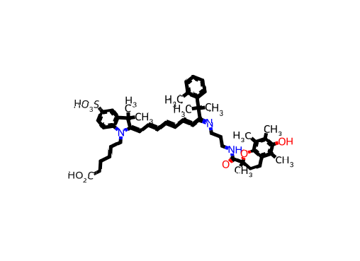 Cc1ccccc1C(C)(C)C(/C=C/C=C/C=C/C=C1/N(CCCCCC(=O)O)c2ccc(S(=O)(=O)O)cc2C1(C)C)=N/CCCNC(=O)C1(C)CCc2c(C)c(O)c(C)c(C)c2O1